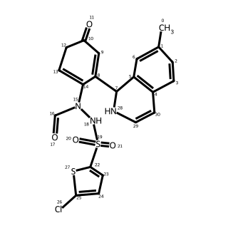 Cc1ccc2c(c1)C(C1=CC(=O)CC=C1N(C=O)NS(=O)(=O)c1ccc(Cl)s1)NC=C2